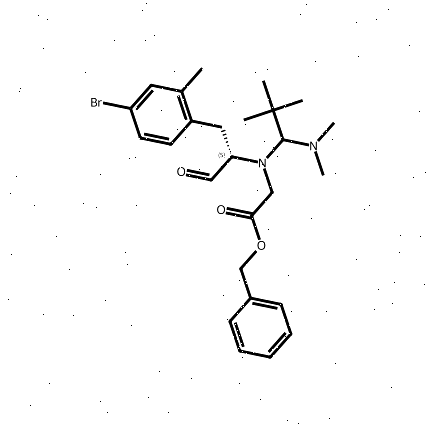 Cc1cc(Br)ccc1C[C@@H](C=O)N(CC(=O)OCc1ccccc1)C(N(C)C)C(C)(C)C